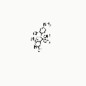 CC(c1ccc(N)cc1Cl)C(O)(c1ccnc(Cl)c1)C(F)(F)F